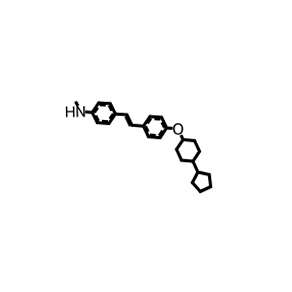 CNc1ccc(/C=C/c2ccc(OC3CCC(C4CCCC4)CC3)cc2)cc1